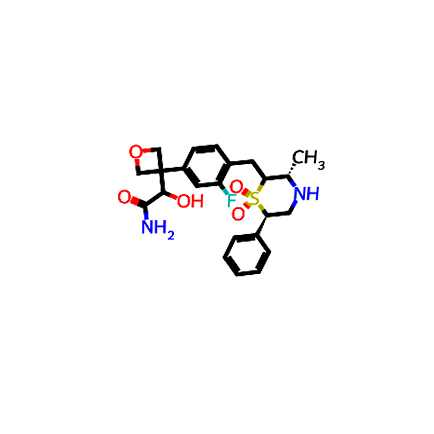 C[C@@H]1NC[C@@H](c2ccccc2)S(=O)(=O)C1Cc1ccc(C2(C(O)C(N)=O)COC2)cc1F